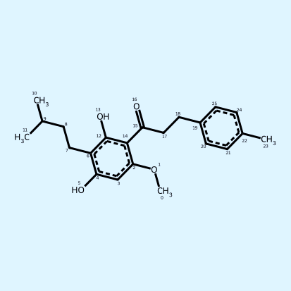 COc1cc(O)c(CCC(C)C)c(O)c1C(=O)CCc1ccc(C)cc1